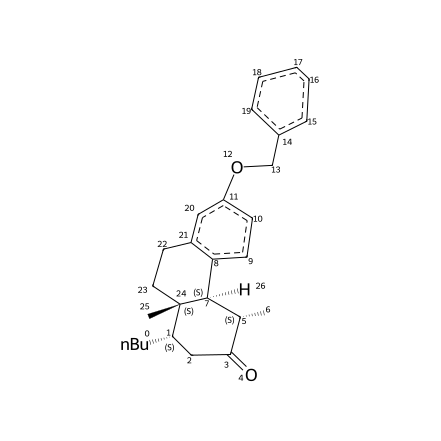 CCCC[C@H]1CC(=O)[C@@H](C)[C@@H]2c3ccc(OCc4ccccc4)cc3CC[C@@]12C